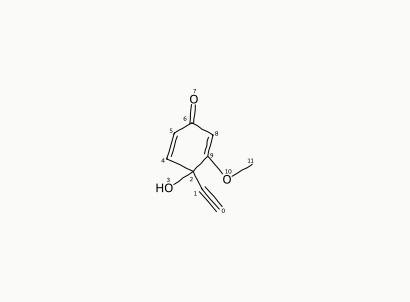 C#CC1(O)C=CC(=O)C=C1OC